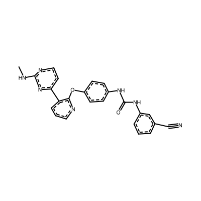 CNc1nccc(-c2cccnc2Oc2ccc(NC(=O)Nc3cccc(C#N)c3)cc2)n1